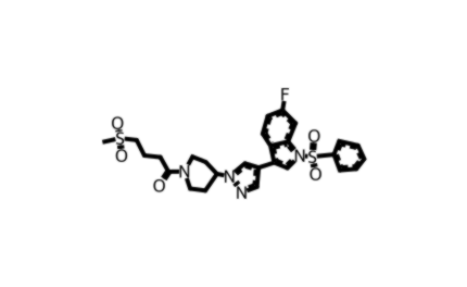 CS(=O)(=O)CCCC(=O)N1CCC(n2cc(-c3cn(S(=O)(=O)c4ccccc4)c4cc(F)ccc34)cn2)CC1